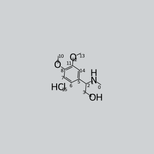 CNC(CO)c1ccc(OC)c(OC)c1.Cl